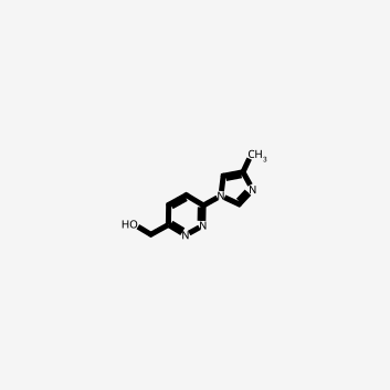 Cc1cn(-c2ccc(CO)nn2)cn1